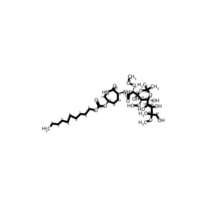 CCCCCCCCCCOC(=O)O[C@@H]1CC[C@H](NC(=O)[C@H](OOC)[C@]2(O)OC(C)(C)O[C@@](O)(/C(O)=C(\O)C(C)(CO)OC)[C@H]2OO)C(=O)NC1